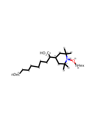 CCCCCCCCCCCCCCCCC(C(=O)O)C1CC(C)(C)N(OCCCCCC)C(C)(C)C1